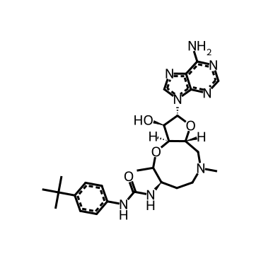 CC1O[C@H]2[C@@H](O)[C@H](n3cnc4c(N)ncnc43)O[C@@H]2CN(C)CC[C@H]1NC(=O)Nc1ccc(C(C)(C)C)cc1